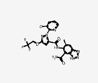 Cc1cc2nn[nH]c2c(C(N)=O)c1NC(=O)c1cc(OCC(F)(F)F)nn1-c1ncccc1Cl